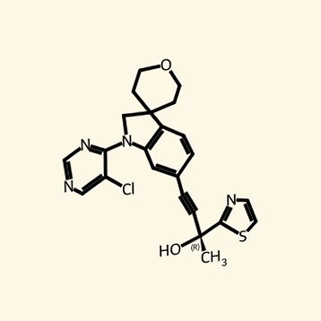 C[C@@](O)(C#Cc1ccc2c(c1)N(c1ncncc1Cl)CC21CCOCC1)c1nccs1